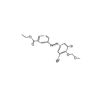 CCOC(=O)c1cccc(/N=N/c2cc(Br)c(OCOC)c(Br)c2)c1